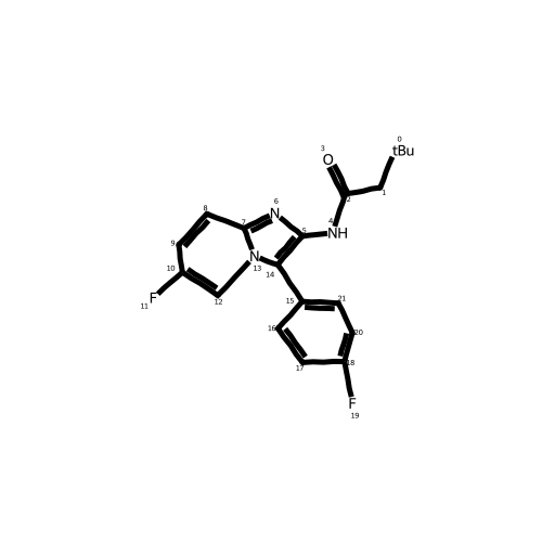 CC(C)(C)CC(=O)Nc1nc2ccc(F)cn2c1-c1ccc(F)cc1